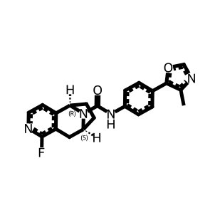 Cc1ncoc1-c1ccc(NC(=O)N2[C@H]3CC[C@@H]2c2ccnc(F)c2C3)cc1